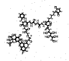 Cc1c(F)cc2nc3c(c4c2c1CC[C@@H]4NC(=O)[C@@H](C)OCNC(=O)CNC(=O)[C@H](Cc1ccccc1)NC(=O)CNC(=O)CNC(=O)CC[C@H](NC(=O)CCCCCN1C(=O)C=CC1=O)C(=O)N(C)C[C@H](O)[C@@H](O)[C@H](O)[C@H](O)CO)Cn1c-3cc2c(c1=O)COC(=O)[C@]2(O)CC1CC1